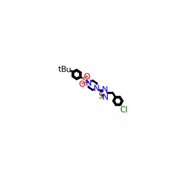 CC(C)(C)c1ccc(S(=O)(=O)N2CCN(c3nc(Cc4ccc(Cl)cc4)ns3)CC2)cc1